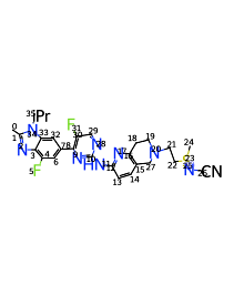 Cc1nc2c(F)cc(-c3nc(Nc4ccc5c(n4)CCN(CC/S(C)=N/C#N)C5)ncc3F)cc2n1C(C)C